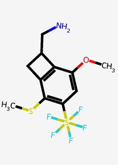 COc1cc(S(F)(F)(F)(F)F)c(SC)c2c1C(CN)C2